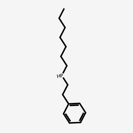 CCCCCCCPCCc1ccccc1